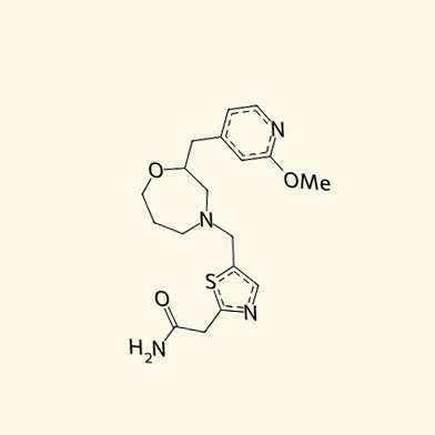 COc1cc(CC2CN(Cc3cnc(CC(N)=O)s3)CCCO2)ccn1